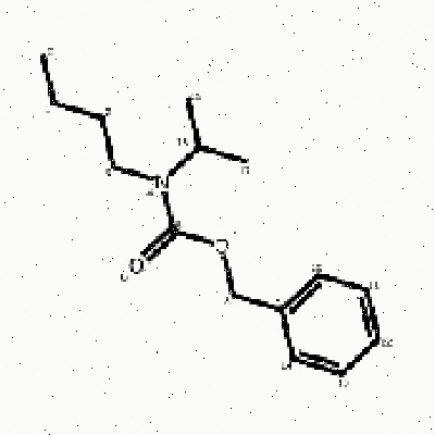 CCCCN(C(=O)OCc1ccccc1)C(C)C